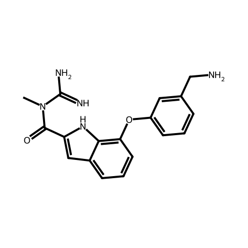 CN(C(=N)N)C(=O)c1cc2cccc(Oc3cccc(CN)c3)c2[nH]1